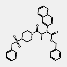 CC(C(=O)N1CCN(S(=O)(=O)Cc2ccccc2)CC1)N(C(=O)OCc1ccccc1)c1ccc2ccccc2c1